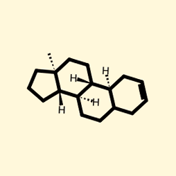 C[C@@]12CCC[C@H]1[C@@H]1CCC3CC=CC[C@@H]3[C@H]1CC2